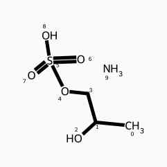 CC(O)COS(=O)(=O)O.N